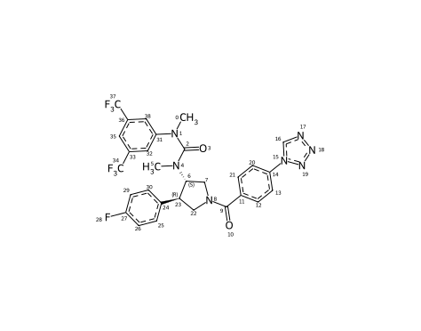 CN(C(=O)N(C)[C@@H]1CN(C(=O)c2ccc(-n3cnnn3)cc2)C[C@H]1c1ccc(F)cc1)c1cc(C(F)(F)F)cc(C(F)(F)F)c1